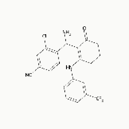 N#Cc1ccc(C(N)C2=C(Nc3cccc(C(F)(F)F)c3)CCCC2=O)c(Cl)c1